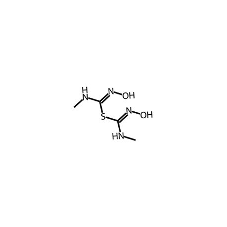 CNC(=NO)SC(=NO)NC